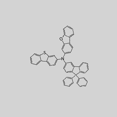 c1ccc(C2(c3ccccc3)c3ccccc3-c3cc(N(c4ccc5c(c4)oc4ccccc45)c4ccc5c(c4)sc4ccccc45)ccc32)cc1